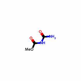 [CH2]OC(=O)NC(N)=O